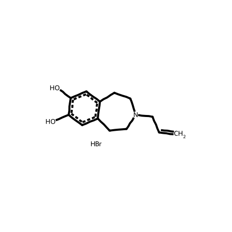 Br.C=CCN1CCc2cc(O)c(O)cc2CC1